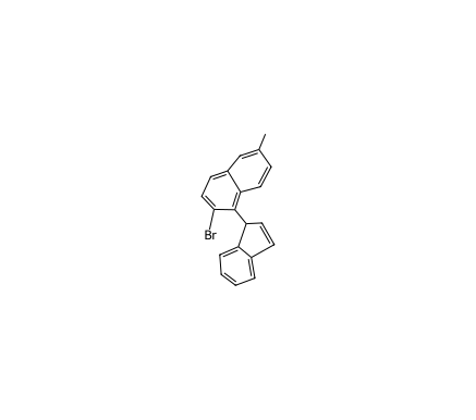 Cc1ccc2c(C3C=Cc4ccccc43)c(Br)ccc2c1